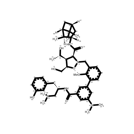 COc1c(CN2O[C@@H](CO)[C@@H]([C@H](C)O)[C@H]2C(=O)N[C@H]2C[C@H]3C[C@@H]([C@@H]2C)C3(C)C)cccc1-c1cc(C(=O)N[C@@H](Cc2cccc(O)c2)CN(C)C)cc(N(C)C)c1